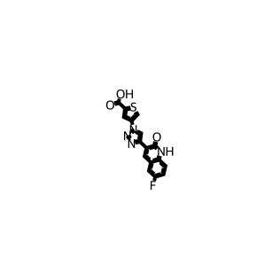 O=C(O)c1cc(-n2cc(-c3cc4cc(F)ccc4[nH]c3=O)nn2)cs1